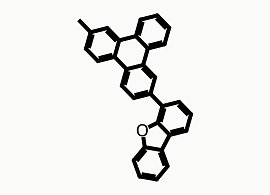 Cc1ccc2c3ccc(-c4cccc5c4oc4ccccc45)cc3c3ccccc3c2c1